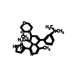 CC1=CN=C(C2=CCNN2)C2C1C(c1cccc(N(C)C)c1)=CC(N1CCOC[C@H]1C)N2C